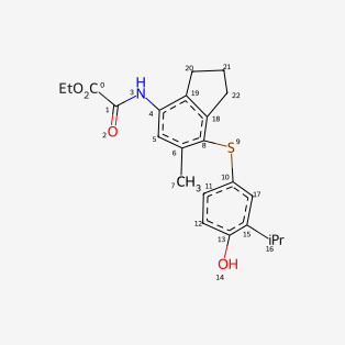 CCOC(=O)C(=O)Nc1cc(C)c(Sc2ccc(O)c(C(C)C)c2)c2c1CCC2